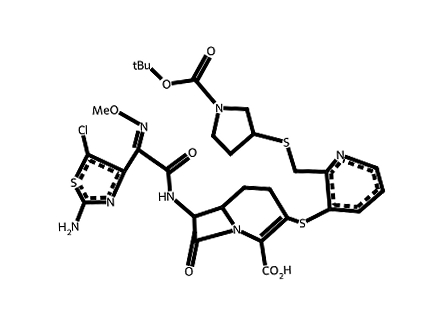 CON=C(C(=O)NC1C(=O)N2C(C(=O)O)=C(Sc3cccnc3CSC3CCN(C(=O)OC(C)(C)C)C3)CCC12)c1nc(N)sc1Cl